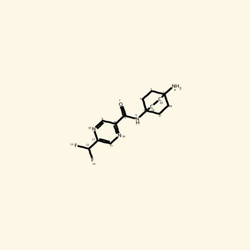 NC12CCC(NC(=O)c3cnc(C(F)F)cn3)(CC1)CC2